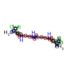 CN1Cc2c(Cl)cc(Cl)cc2C(c2ccc(S(=O)(=O)NCCOCCOCCNC(=O)C(=O)NCCOCCOCCNS(=O)(=O)c3ccc(C4CN(C)Cc5c(Cl)cc(Cl)cc54)cc3)cc2)C1